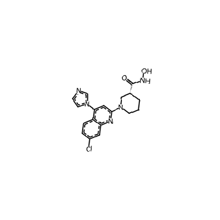 O=C(NO)[C@@H]1CCCN(c2cc(-n3ccnc3)c3ccc(Cl)cc3n2)C1